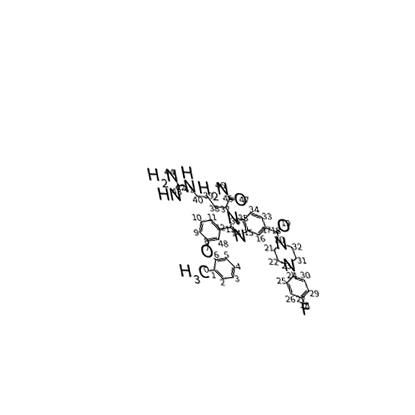 Cc1ccccc1Oc1cccc(-c2nc3cc(C(=O)N4CCN(c5ccc(F)cc5)CC4)ccc3n2C(CCCNC(=N)N)C(N)=O)c1